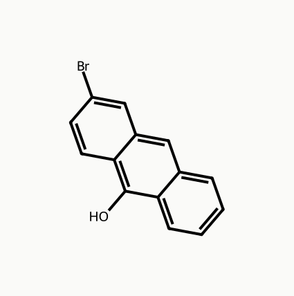 Oc1c2ccccc2cc2cc(Br)ccc12